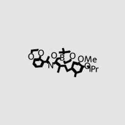 COc1cc(CC/C(C)=C(/N=C(\C)c2cccc3c2OCCO3)C(=O)B2CCOCC2(C)C)c(C)cc1OC(C)C